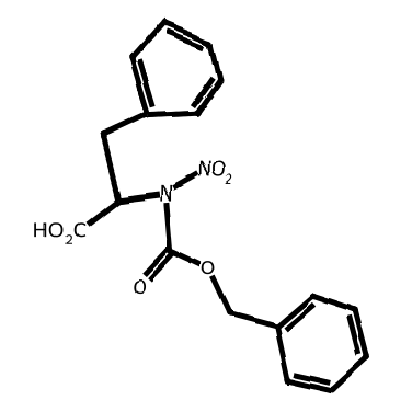 O=C(O)C(Cc1ccccc1)N(C(=O)OCc1ccccc1)[N+](=O)[O-]